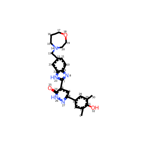 Cc1cc(-c2cc(-c3nc4ccc(CN5CCCOCC5)cc4[nH]3)c(=O)[nH]n2)cc(C)c1O